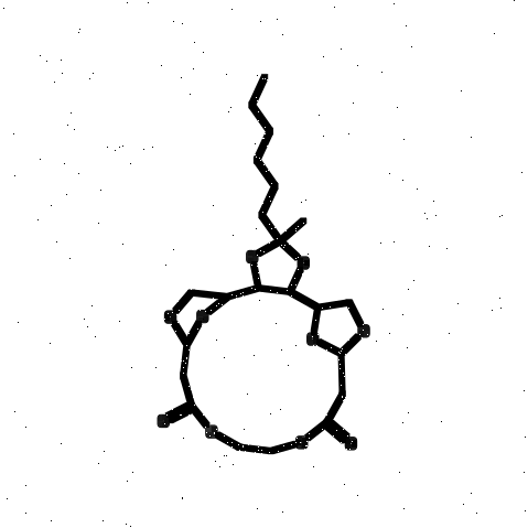 CCCCCCC1(C)OC2C3COC(CC(=O)OCCOC(=O)CC4OCC(O4)C2O1)O3